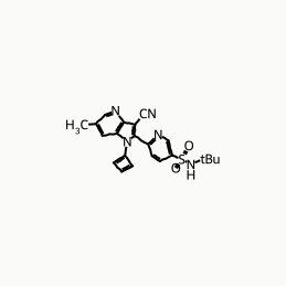 Cc1cnc2c(C#N)c(-c3ccc(S(=O)(=O)NC(C)(C)C)cn3)n(C3=CC=C3)c2c1